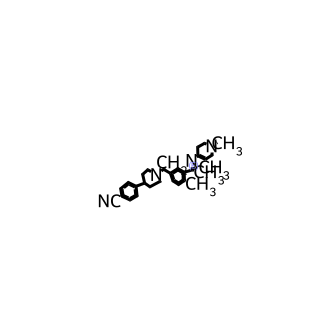 C=C(c1ccc(C)c(/C(C)=N/C2=C(C)CN(C)CC2)c1)N1CCC(c2ccc(C#N)cc2)CC1